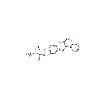 CC(C)C(=O)N1Cc2ccc(SN(C)C(C)c3ccccc3)cc2C1